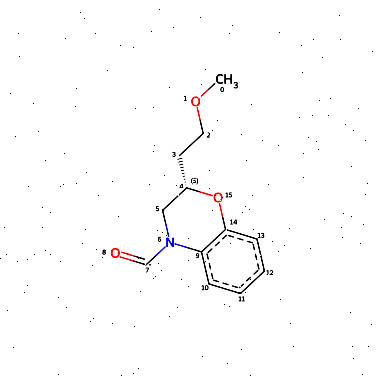 COCC[C@H]1CN([C]=O)c2ccccc2O1